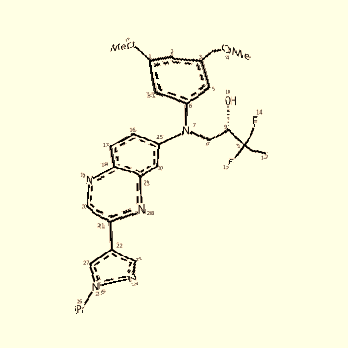 COc1cc(OC)cc(N(C[C@H](O)C(C)(F)F)c2ccc3ncc(-c4cnn(C(C)C)c4)nc3c2)c1